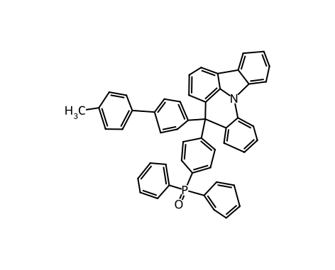 Cc1ccc(-c2ccc(C3(c4ccc(P(=O)(c5ccccc5)c5ccccc5)cc4)c4ccccc4-n4c5ccccc5c5cccc3c54)cc2)cc1